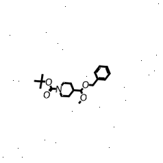 COC(OCc1ccccc1)C1CCN(C(=O)OC(C)(C)C)CC1